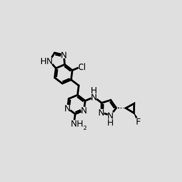 Nc1ncc(Cc2ccc3[nH]cnc3c2Cl)c(Nc2cc([C@@H]3C[C@H]3F)[nH]n2)n1